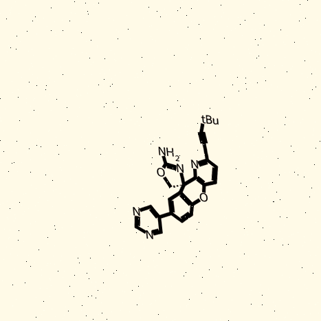 CC(C)(C)C#Cc1ccc2c(n1)[C@@]1(COC(N)=N1)c1cc(-c3cncnc3)ccc1O2